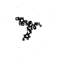 NC(=O)CC1CN(Cc2ccc(F)cc2)CCN1C(=O)COc1ccc(Cl)cc1O